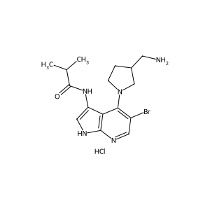 CC(C)C(=O)Nc1c[nH]c2ncc(Br)c(N3CCC(CN)C3)c12.Cl